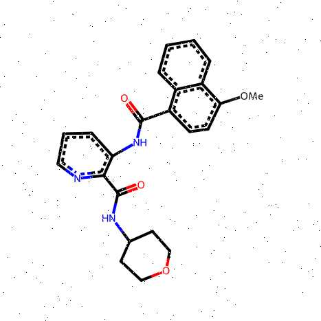 COc1ccc(C(=O)Nc2cccnc2C(=O)NC2CCOCC2)c2ccccc12